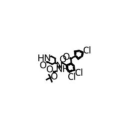 CC(C)(C)OC(=O)NN(C(=O)c1cc(Cl)c(Cl)cc1C(=O)c1ccc(Cl)cc1)C1CCNC(=O)C1